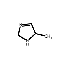 CC1C=N[C]N1